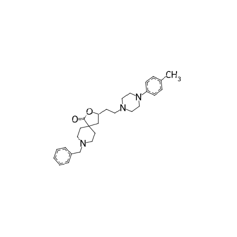 Cc1ccc(N2CCN(CCC3CC4(CCN(Cc5ccccc5)CC4)C(=O)O3)CC2)cc1